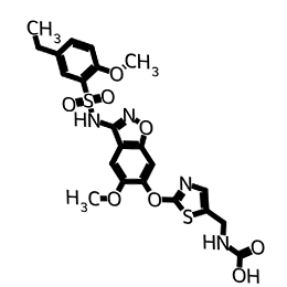 CCc1ccc(OC)c(S(=O)(=O)Nc2noc3cc(Oc4ncc(CNC(=O)O)s4)c(OC)cc23)c1